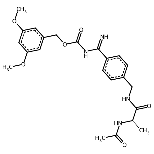 COc1cc(COC(=O)NC(=N)c2ccc(CNC(=O)[C@H](C)NC(C)=O)cc2)cc(OC)c1